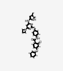 Cc1cc(Nc2cc(N3CCC3)nc(Sc3ccc(NC(=O)c4ccc(Oc5ccccc5)cc4Cl)cc3)n2)[nH]n1